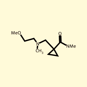 CNC(=O)C1(CN(C)CCOC)CC1